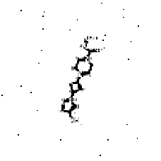 CC(C)(C)OC(=O)N1CCN(C2CC(n3cc(N)cn3)C2)CC1